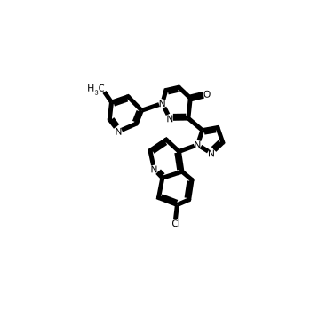 Cc1cncc(-n2ccc(=O)c(-c3ccnn3-c3ccnc4cc(Cl)ccc34)n2)c1